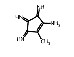 Cc1c(N)c(=N)c(=N)c1=N